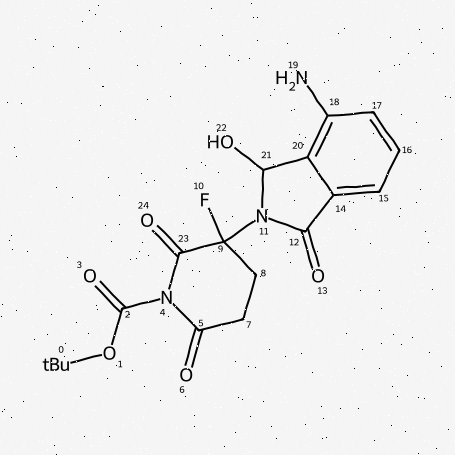 CC(C)(C)OC(=O)N1C(=O)CCC(F)(N2C(=O)c3cccc(N)c3C2O)C1=O